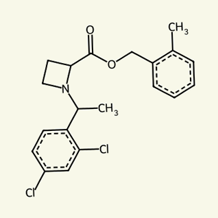 Cc1ccccc1COC(=O)C1CCN1C(C)c1ccc(Cl)cc1Cl